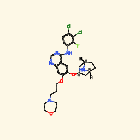 Fc1c(Nc2ncnc3cc(OCCCN4CCOCC4)c(O[C@@H]4C[C@H]5CC[C@@H](C4)N5)cc23)ccc(Cl)c1Cl